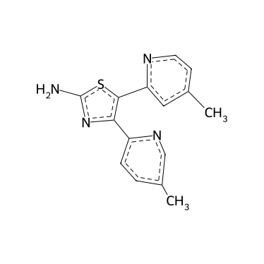 Cc1ccc(-c2nc(N)sc2-c2cc(C)ccn2)nc1